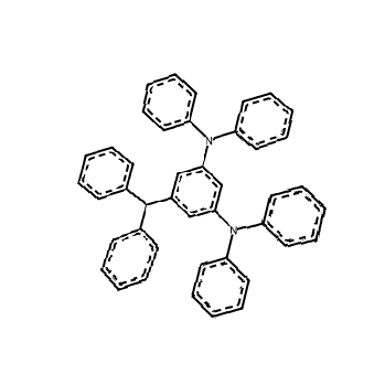 c1ccc(C(c2ccccc2)c2cc(N(c3ccccc3)c3ccccc3)cc(N(c3ccccc3)c3ccccc3)c2)cc1